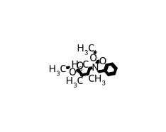 CCOC(=O)C(C)C(C)C(C)N(Cc1ccccc1)C(=O)OCC